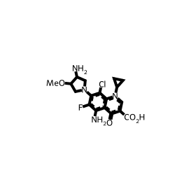 COC1CN(c2c(F)c(N)c3c(=O)c(C(=O)O)cn(C4CC4)c3c2Cl)CC1N